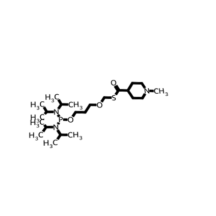 CC(C)N(C(C)C)P(OCCCOCSC(=O)C1CCN(C)CC1)N(C(C)C)C(C)C